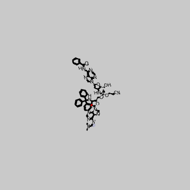 CN(C)/C=N\c1ncnc2c1ncn2[C@H]1CC(NC(c2ccccc2)(c2ccccc2)c2ccccc2)[C@@H](COP(=S)(NC2C[C@H](n3cnc4c(NC(=O)c5ccccc5)ncnc43)O[C@@H]2CO)OCCC#N)O1